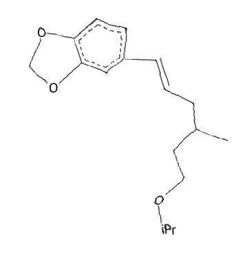 CC(CC=Cc1ccc2c(c1)OCO2)CCOC(C)C